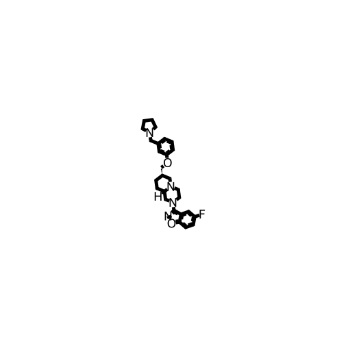 Fc1ccc2onc(N3CCN4C[C@@H](COc5cccc(CN6CCCC6)c5)CC[C@H]4C3)c2c1